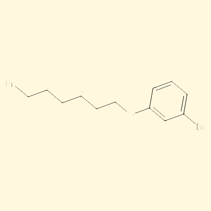 BrCCCCCCOc1[c]ccc(Br)c1